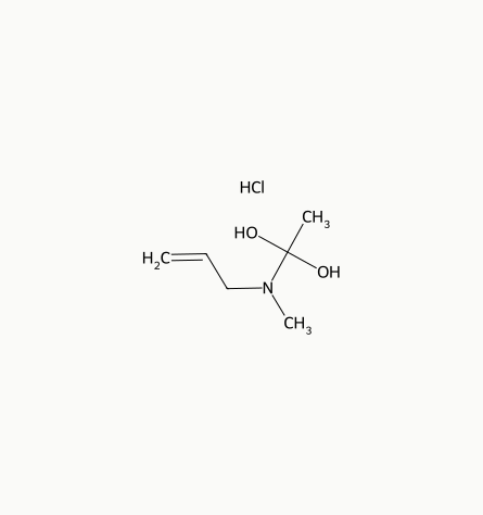 C=CCN(C)C(C)(O)O.Cl